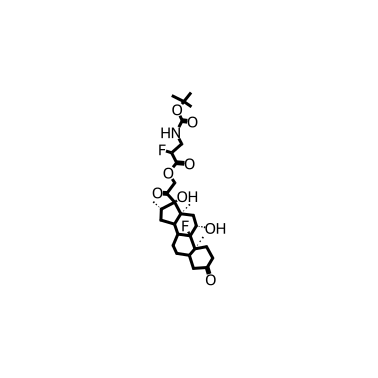 C[C@H]1CC2C3CCC4CC(=O)CC[C@]4(C)[C@@]3(F)[C@@H](O)C[C@]2(C)[C@@]1(O)C(=O)COC(=O)C(F)CNC(=O)OC(C)(C)C